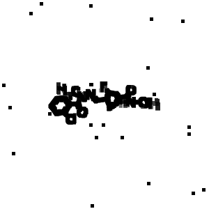 CN(N=Cc1ccc(C(=O)NO)cc1F)C(=O)c1ccccc1Cl